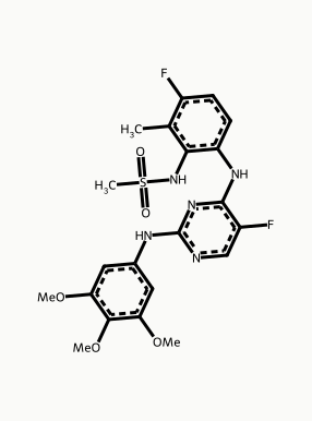 COc1cc(Nc2ncc(F)c(Nc3ccc(F)c(C)c3NS(C)(=O)=O)n2)cc(OC)c1OC